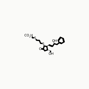 O=C(O)CSCCCS[C@H]1C(=O)C[C@@H](CO)[C@@H]1C=C[C@H](O)Cc1ccccc1